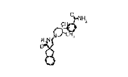 C[C@H]1CN(CCC2(C(N)=O)Cc3ccccc3C2)CC[C@]1(C)c1cccc(C(N)=O)c1